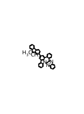 CC1(C)c2ccccc2-c2ccc(-c3cc4c5c(c3)c3ccccc3n5-c3nc5ccccc5nc3-c3ccccc3-4)cc21